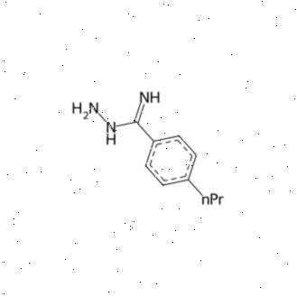 CCCc1ccc(C(=N)NN)cc1